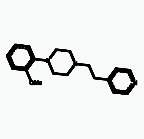 COc1ccccc1N1CCN(CCc2ccncc2)CC1